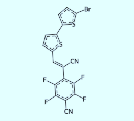 N#CC(=Cc1ccc(-c2ccc(Br)s2)s1)c1c(F)c(F)c(C#N)c(F)c1F